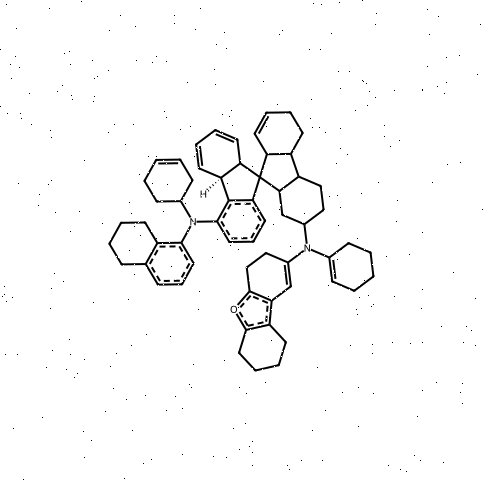 C1=CC2[C@H](C=C1)c1c(N(c3cccc4c3CCCC4)C3CC=CCC3)cccc1C21C2C=CCCC2C2CCC(N(C3=CCCCC3)C3=Cc4c(oc5c4CCCC5)CC3)CC21